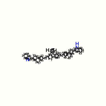 CCC1(CC)C2=C(CCC(/C=C/C3=CCC4C(CCC5C=C(C6=CN=C7CCCCC7C6)CCC54)C3)=C2)C2CCC(/C=C/c3ccc4c(c3)CCC3=C4CCC(C4CNC5C=CCCC5C4)=C3)=CC21